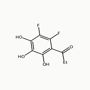 CCC(=O)c1c(O)c(O)c(O)c(F)c1F